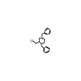 ClCC1CN(Cc2ccccc2)CCN1Cc1ccccc1